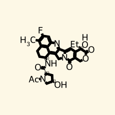 CC[C@@]1(O)C(=O)OCc2c1cc1n(c2=O)Cc2c-1nc1cc(F)c(C)c3c1c2[C@@H](NC(=O)[C@@H]1C[C@@H](O)CN1C(C)=O)CC3